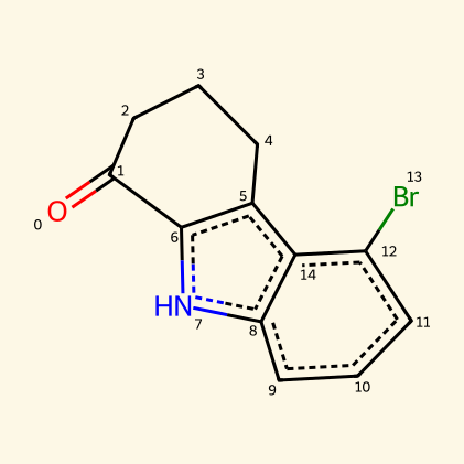 O=C1CCCc2c1[nH]c1cccc(Br)c21